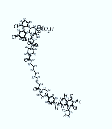 CC(=O)c1c(C)c2cnc(Nc3ccc(N4CCN(C(=O)CCCCCCCCCC(=O)N5CCN(S(=O)(=O)C[C@@H](N6C(=O)[C@@](C)(CC(=O)O)C[C@H](c7cccc(Cl)c7)[C@H]6c6ccc(Cl)cc6)C(C)(C)C)CC5)CC4)cn3)nc2n(C2CCCC2)c1=O